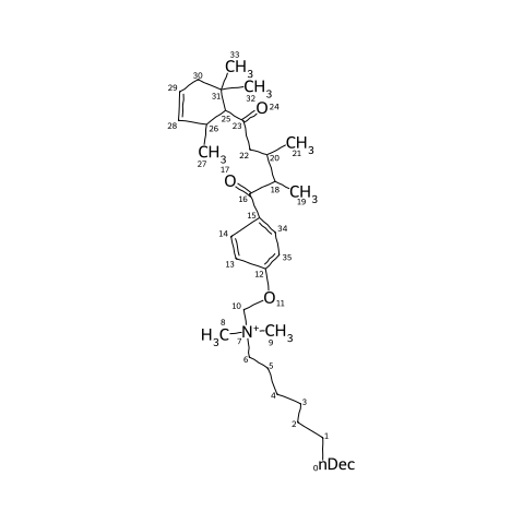 CCCCCCCCCCCCCCCC[N+](C)(C)COc1ccc(C(=O)C(C)C(C)CC(=O)C2C(C)C=CCC2(C)C)cc1